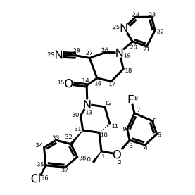 C[C@H](Oc1cccc(F)c1)[C@H]1CCN(C(=O)C2CCN(c3ccccn3)CC2C#N)C[C@@H]1c1ccc(Cl)cc1